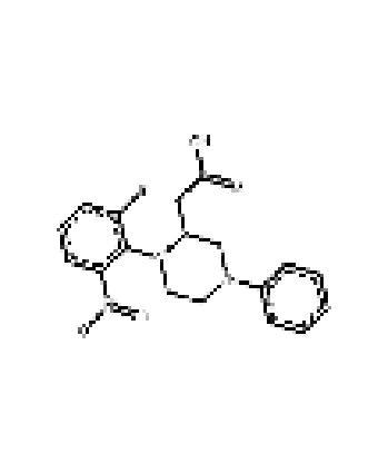 O=C(O)CC1CN(c2ccccc2)CCN1c1c(Br)cccc1[N+](=O)[O-]